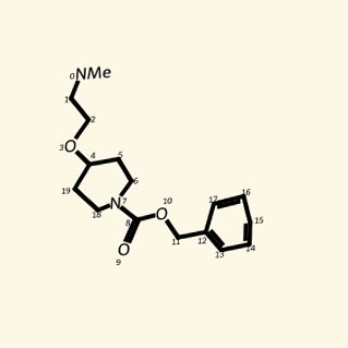 CNCCOC1CCN(C(=O)OCc2ccccc2)CC1